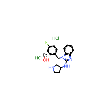 CCO.Cl.Cl.Fc1ccc(Cn2c(NC3CCNC3)nc3ccccc32)cc1